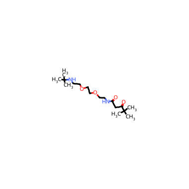 CC(C)(C)NCCOCCOCCNC(=O)CC(=O)C(C)(C)C